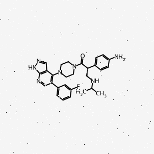 CC(C)NC[C@@H](C(=O)N1CCN(c2c(-c3cccc(F)c3)cnc3[nH]ncc23)CC1)c1ccc(N)cc1